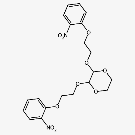 O=[N+]([O-])c1ccccc1OCCOC1OCCOC1OCCOc1ccccc1[N+](=O)[O-]